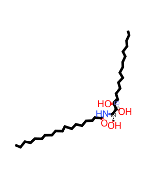 CCCCCCCCCCCCC/C=C(\O)[C@@H](O)[C@H](CO)NC(=O)CCCCCCCCCCCCCCCCC